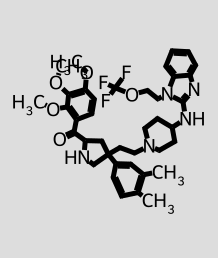 COc1ccc(C(=O)C2CC(CCN3CCC(Nc4nc5ccccc5n4CCOC(F)(F)F)CC3)(c3ccc(C)c(C)c3)CN2)c(OC)c1OC